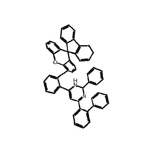 C1=CC2=C(CC1)c1ccccc1C21c2ccccc2Oc2c(-c3ccccc3C3=CC(c4ccccc4-c4ccccc4)=NC(c4ccccc4)N3)cccc21